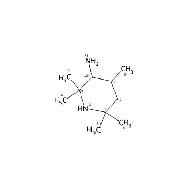 CC1CC(C)(C)NC(C)(C)C1N